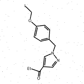 CCC(=O)c1cnn(Cc2ccc(OCI)cc2)c1